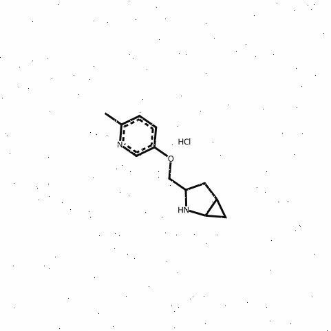 Cc1ccc(OCC2CC3CC3N2)cn1.Cl